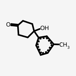 Cc1cccc(C2(O)CCC(=O)CC2)c1